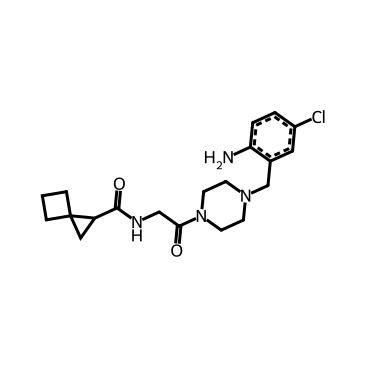 Nc1ccc(Cl)cc1CN1CCN(C(=O)CNC(=O)C2CC23CCC3)CC1